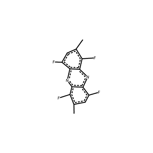 Cc1cc(F)c2nc3c(F)c(C)cc(F)c3nc2c1F